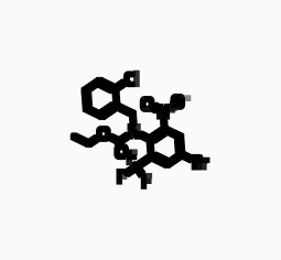 CCOC(=O)N(Cc1ccccc1Cl)c1c([N+](=O)[O-])cc(Br)cc1C(F)(F)F